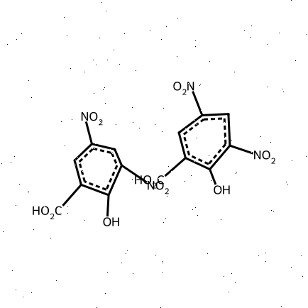 O=C(O)c1cc([N+](=O)[O-])cc([N+](=O)[O-])c1O.O=C(O)c1cc([N+](=O)[O-])cc([N+](=O)[O-])c1O